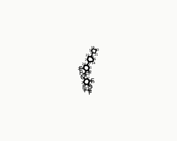 Fc1cc(OC(F)(F)c2c(F)cc(-c3ccc(C4CCCC4)cc3)cc2F)cc(F)c1OC(F)F